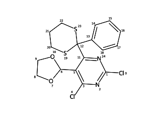 Clc1nc(Cl)c(C2OCCO2)c(C2(c3ccccc3)SCCCS2)n1